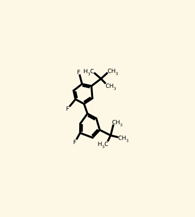 CC(C)(C)c1cc(F)cc(-c2cc(C(C)(C)C)c(F)cc2F)c1